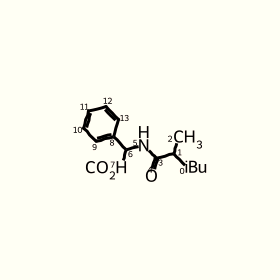 CCC(C)C(C)C(=O)NC(C(=O)O)c1ccccc1